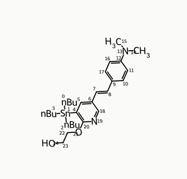 CCC[CH2][Sn]([CH2]CCC)([CH2]CCC)[c]1cc(/C=C/c2ccc(N(C)C)cc2)cnc1OCCO